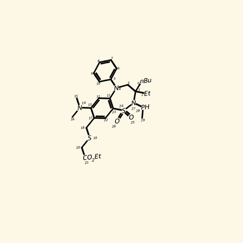 CCCCC1(CC)CN(c2ccccc2)c2cc(N(C)C)c(CSCC(=O)OCC)cc2S(=O)(=O)N1PC